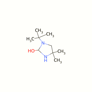 CC1(C)CN(C(C)(C)C)C(O)N1